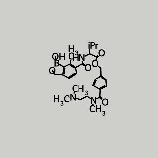 Cc1c(C(=O)NC(C(=O)OCc2ccc(C(=O)N(C)CCN(C)C)cc2)C(C)C)ccc2c1B(O)OC2